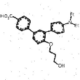 CCN(CC)c1ccc(-c2cc(-c3ccc(C(=O)O)cc3)ccc2OCCCO)cc1